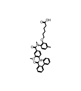 COc1cc(C(=O)N(C)c2ccc(C)cc2OCCCCCC(=O)O)ccc1NC(=O)c1ccccc1-c1ccccc1